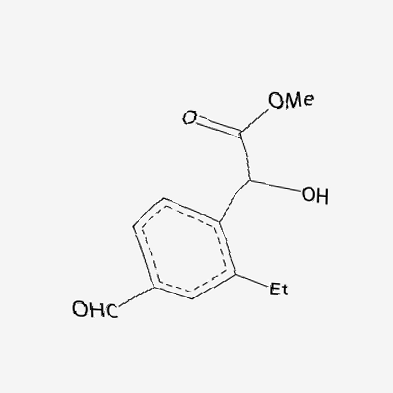 CCc1cc(C=O)ccc1C(O)C(=O)OC